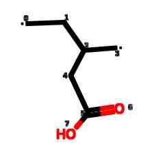 [CH2]CC([CH2])CC(=O)O